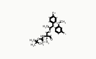 COc1cc(F)ccc1[C@@H](c1ccc(F)cc1)[C@H](C)OC[C@@](C)(C=O)NC(=O)OC(C)(C)C